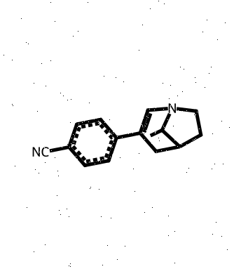 CC1C2CCN1C=C(c1ccc(C#N)cc1)C2